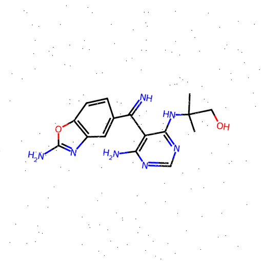 CC(C)(CO)Nc1ncnc(N)c1C(=N)c1ccc2oc(N)nc2c1